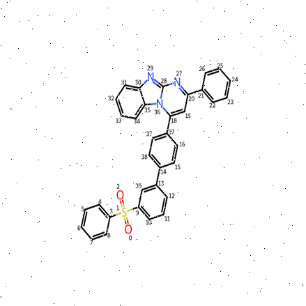 O=S(=O)(c1ccccc1)c1cccc(-c2ccc(-c3cc(-c4ccccc4)nc4nc5ccccc5n34)cc2)c1